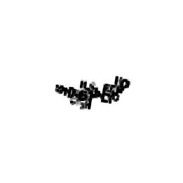 CC1CN(C2COC2)CCN1c1ccc(Nc2cc(-c3ccnc(N4CCn5c(cc6c5[C@H]5CCC6C5)C4=O)c3CO)cn(C)c2=O)nc1